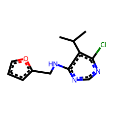 CC(C)c1c(Cl)ncnc1NCc1ccco1